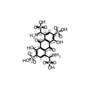 NC(c1cc(S(=O)(=O)O)c(O)c2c1C(=O)c1c(O)c(S(=O)(=O)O)cc(C(N)S(=O)(=O)O)c1C2=O)S(=O)(=O)O